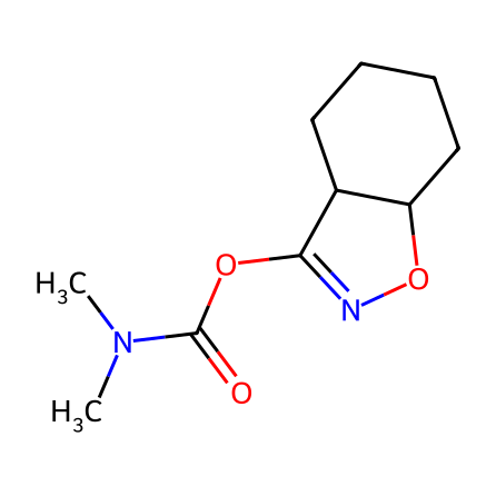 CN(C)C(=O)OC1=NOC2CCCCC12